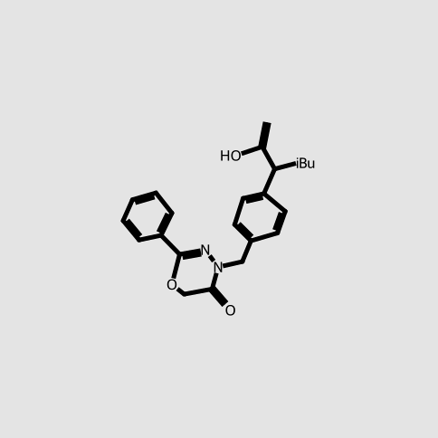 C=C(O)C(c1ccc(CN2N=C(c3ccccc3)OCC2=O)cc1)C(C)CC